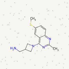 CSc1ccc2nc(C)nc(N3CC(CN)C3)c2c1